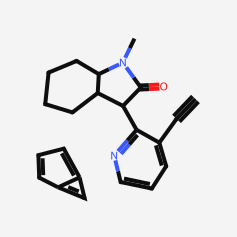 C#Cc1cccnc1C1C(=O)N(C)C2CCCCC12.c1cc2cc-2c1